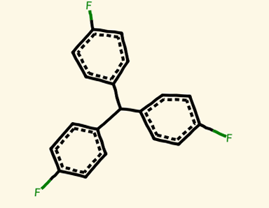 Fc1ccc(C(c2ccc(F)cc2)c2ccc(F)cc2)cc1